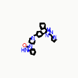 O=c1[nH]c2ccccc2n1C1CCN(Cc2ccc(-c3nc(C4=NC=CC4)nnc3-c3ccccc3)cc2)CC1